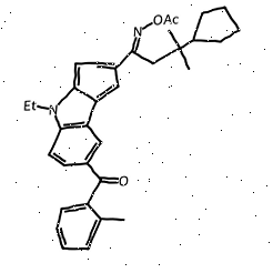 CCn1c2ccc(C(=O)c3ccccc3C)cc2c2cc(C(CC(C)(C)C3CCCC3)=NOC(C)=O)ccc21